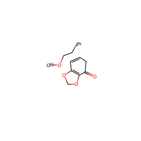 CC(C)CCON=O.O=C1CC=CC2=C1OCO2